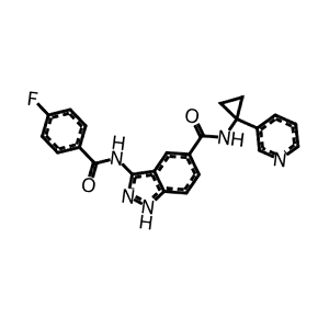 O=C(Nc1n[nH]c2ccc(C(=O)NC3(c4cccnc4)CC3)cc12)c1ccc(F)cc1